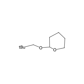 [CH2]C(C)(C)COC1CCCCO1